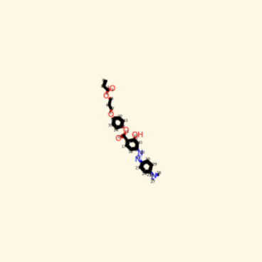 C=CC(=O)OCCCOc1ccc(OC(=O)c2ccc(/N=N/c3ccc(N(C)C)cc3)cc2O)cc1